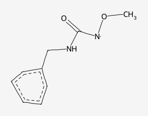 CO[N]C(=O)NCc1ccccc1